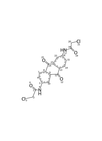 O=C(CCl)Nc1ccc2c(c1)C(=O)c1ccc(NC(=O)CCl)cc1C2=O